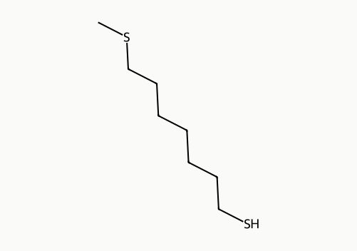 CSCCCCCCCS